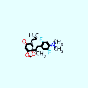 C=CC[C@H]1C[C@]2([C@@H](C)Cc3cc(F)c(N(C)C)cc3F)OCOC2=CC1=O